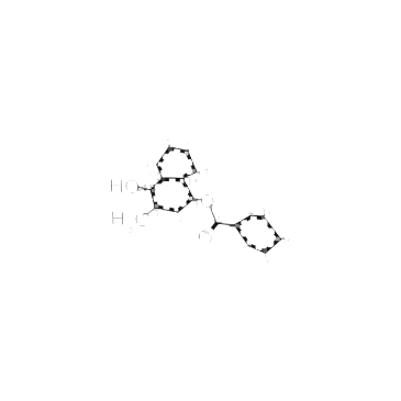 Cc1cc(OC(=O)c2ccccc2)c2ccccc2c1O